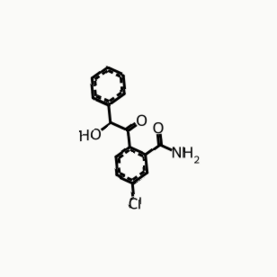 NC(=O)c1cc(Cl)ccc1C(=O)C(O)c1ccccc1